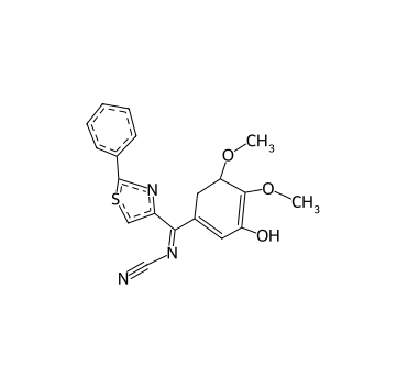 COC1=C(O)C=C(C(=NC#N)c2csc(-c3ccccc3)n2)CC1OC